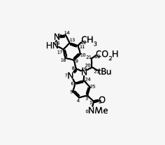 CNC(=O)c1ccc2nc(-c3cc(C)c4cn[nH]c4c3)n(C(CC(=O)O)C(C)(C)C)c2c1